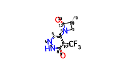 C[C@@H]1CN(c2cn[nH]c(=O)c2C(F)(F)F)C1=O